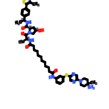 Cc1ncsc1-c1ccc([C@H](C)NC(=O)[C@@H]2C[C@@H](O)CN2C(=O)[C@@H](NC(=O)CCCCCCCCCCC(=O)Nc2cccc(Sc3cnc(N4CCC(C)(N)CC4)cn3)c2)C(C)(C)C)cc1